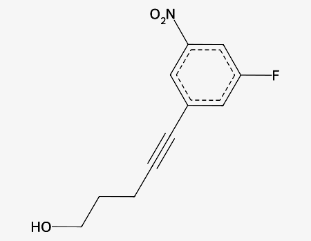 O=[N+]([O-])c1cc(F)cc(C#CCCCO)c1